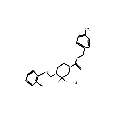 Cc1ccc(COC(=O)N2CC[C@H](CNc3ccncc3F)C(F)(F)C2)cc1.Cl